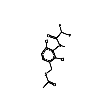 CC(=O)SCc1ccc(Cl)c(N(C)C(=O)C(F)F)c1Cl